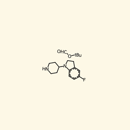 CC(C)(C)OC=O.Fc1ccc2c(c1)CCN2C1CCNCC1